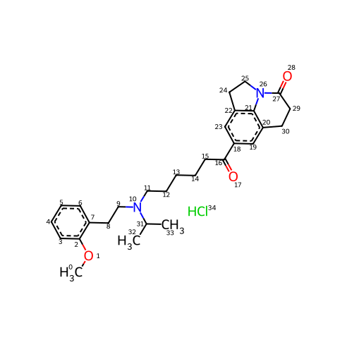 COc1ccccc1CCN(CCCCCC(=O)c1cc2c3c(c1)CCN3C(=O)CC2)C(C)C.Cl